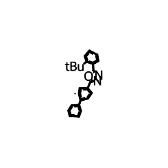 CC(C)(C)c1ccccc1-c1nnc(-c2c[c]c(-c3ccccc3)cc2)o1